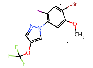 COc1cc(-n2cc(OC(F)(F)F)cn2)c(I)cc1Br